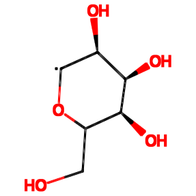 OCC1O[CH][C@@H](O)[C@@H](O)[C@H]1O